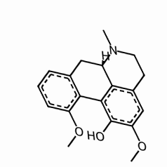 COc1cc2c3c(c1O)-c1c(cccc1OC)C[C@@H]3N(C)CC2